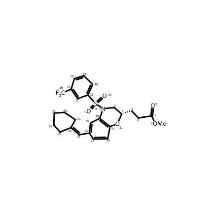 COC(=O)CC[C@H]1CN(S(=O)(=O)c2cccc(C(F)(F)F)c2)c2cc(C=C3CCCCC3)ccc2O1